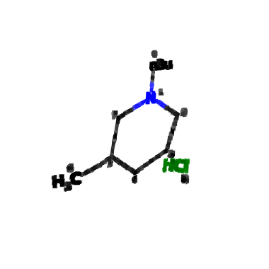 CCCCN1CCCC(C)C1.Cl